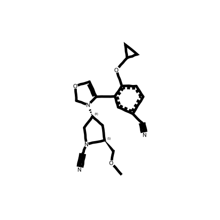 COC[C@@H]1C[C@@H](N2COC=C2c2cc(C#N)ccc2OC2CC2)CN1C#N